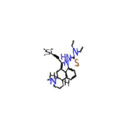 CCN(CC)C(=S)Nn1c(C#C[Si](C)(C)C)c2c3c(cccc31)[C@H]1CCCN(C)[C@@H]1C2